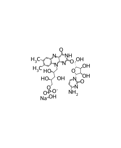 Cc1cc2nc3c(=O)[nH]c(=O)nc-3n(C[C@H](O)[C@H](O)[C@H](O)COP(=O)([O-])O)c2cc1C.Nc1ccn([C@@H]2O[C@H](CO)[C@@H](O)[C@H]2O)c(=O)n1.[Na+]